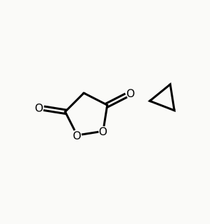 C1CC1.O=C1CC(=O)OO1